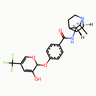 C[C@H]1[C@H](NC(=O)c2ccc(OC3OC=C(C(F)(F)F)C=C3O)cc2)C2CCN1CC2